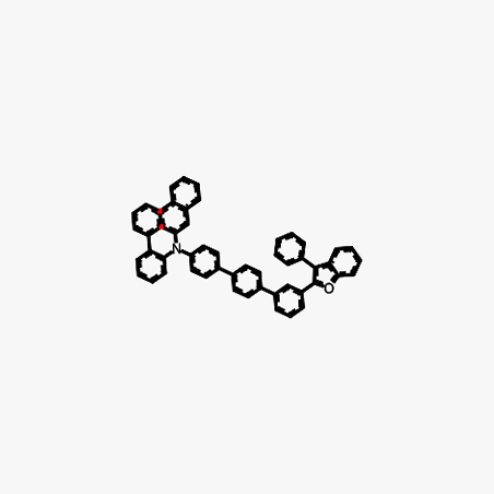 c1ccc(-c2ccccc2N(c2ccc(-c3ccc(-c4cccc(-c5oc6ccccc6c5-c5ccccc5)c4)cc3)cc2)c2ccc3ccccc3c2)cc1